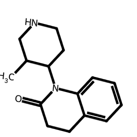 CC1CNCCC1N1C(=O)CCc2ccccc21